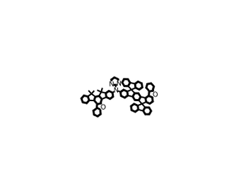 CC1(C)c2cc(N(c3ccc4c(c3)C3(c5ccccc5-c5ccccc53)c3cc5c(cc3-4)C3(c4ccccc4-c4ccccc43)c3ccc4oc6ccccc6c4c3-5)c3ncccn3)ccc2-c2c1c1c(c3c2oc2ccccc23)-c2ccccc2C1(C)C